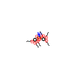 CCCCOc1ccc(S(=O)(=O)C(=[N+]=[N-])S(=O)(=O)c2ccc(OCCCC)c(OCCCC)c2OCCCC)c(OCCCC)c1OCCCC